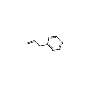 C=CCc1ccn[c]n1